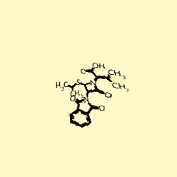 CC(C)=C(C(=O)O)N1C(=O)C(N2C(=O)c3ccccc3C2=O)C1SC(C)C